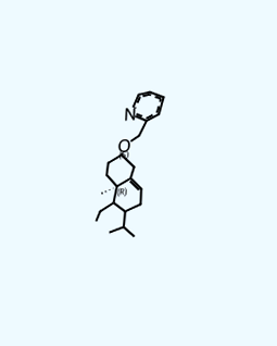 CCC1C(C(C)C)CC=C2C[C@@H](OCc3ccccn3)CC[C@@]21C